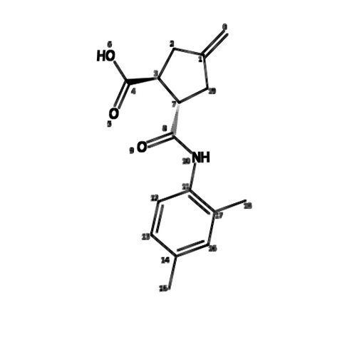 C=C1C[C@H](C(=O)O)[C@@H](C(=O)Nc2ccc(C)cc2C)C1